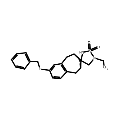 O=S1(=O)NC2(CN1CC(F)(F)F)C1CCC2Cc2cc(OCc3ccccc3)ccc2C1